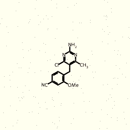 COc1cc(C#N)ccc1Cc1c(C)nc(N)nc1Cl